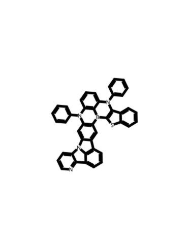 c1ccc(N2c3cc4c(cc3B3c5sc6ccccc6c5N(c5ccccc5)c5cccc2c53)c2cccc3c5ncccc5n4c23)cc1